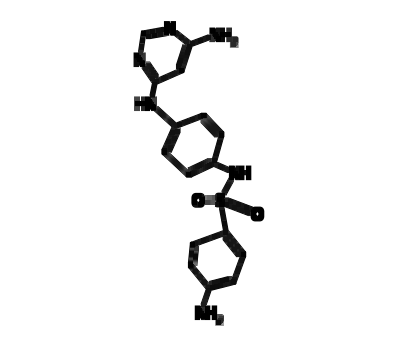 Nc1ccc(S(=O)(=O)Nc2ccc(Nc3cc(N)ncn3)cc2)cc1